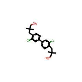 CC(C)(CO)Cc1ccc(-c2ccc(CC(C)(C)CO)c(Cl)c2)cc1Cl